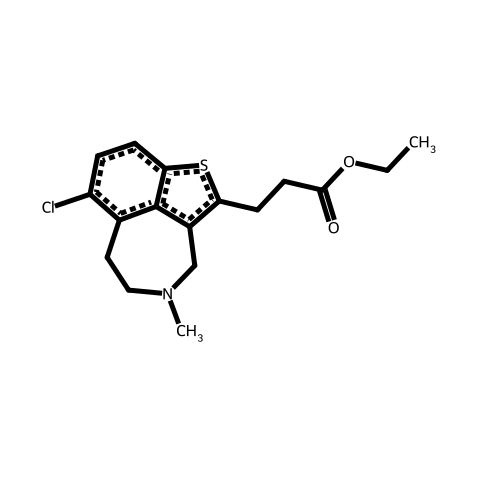 CCOC(=O)CCc1sc2ccc(Cl)c3c2c1CN(C)CC3